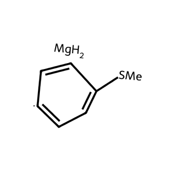 CSc1cc[c]cc1.[MgH2]